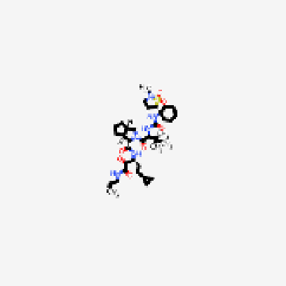 C=CCNC(=O)C(=O)[C@H](CCC1CC1)NC(=O)[C@@H]1[C@H]2CCC[C@H]2CN1C(=O)[C@@H](NC(=O)NC1([C@@H]2CCN(C)S2(=O)=O)CCCCC1)C(C)(C)C